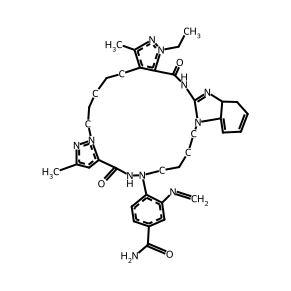 C=Nc1cc(C(N)=O)ccc1N1CCCCN2C3=CC=CCC3N=C2NC(=O)c2c(c(C)nn2CC)CCCCCn2nc(C)cc2C(=O)N1